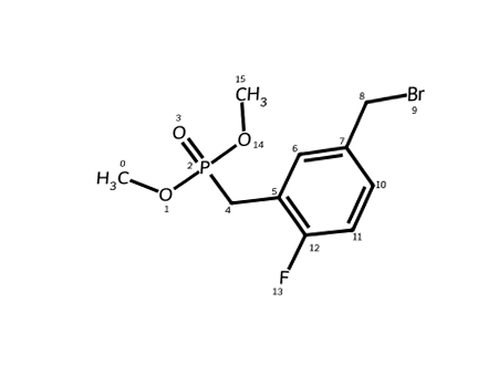 COP(=O)(Cc1cc(CBr)ccc1F)OC